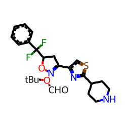 CC(C)(C)OC=O.FC(F)(c1ccccc1)C1CC(c2csc(C3CCNCC3)n2)=NO1